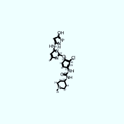 Cc1cc(Nc2cc(O)n[nH]2)nc(Oc2ccc(NC(=O)NC3CCN(C)CC3)cc2Cl)n1